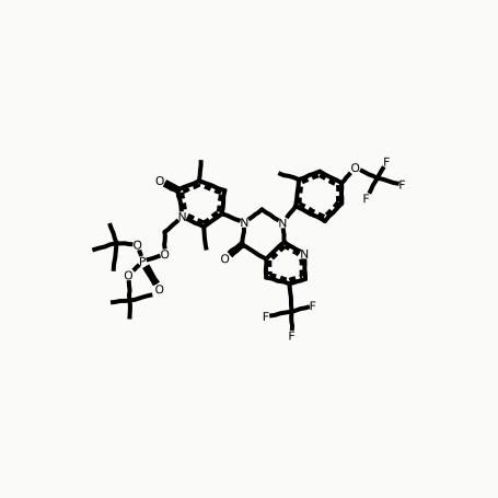 Cc1cc(OC(F)(F)F)ccc1N1CN(c2cc(C)c(=O)n(COP(=O)(OC(C)(C)C)OC(C)(C)C)c2C)C(=O)c2cc(C(F)(F)F)cnc21